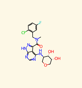 CN(Cc1cc(F)ccc1Cl)C(=O)c1n[nH]c2ncnc(N[C@@H]3COC[C@@H](O)[C@H]3O)c12